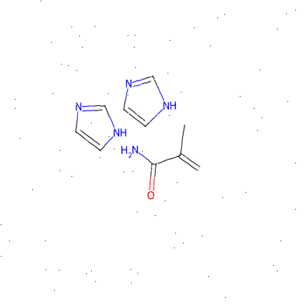 C=C(C)C(N)=O.c1c[nH]cn1.c1c[nH]cn1